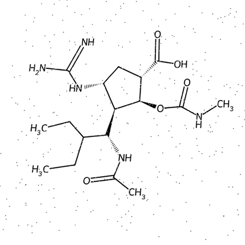 CCC(CC)[C@@H](NC(C)=O)[C@@H]1[C@H](OC(=O)NC)[C@@H](C(=O)O)C[C@H]1NC(=N)N